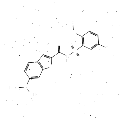 CCOc1ccc(CC)cc1S(=O)(=O)NC(=O)c1cc2ccc(N(C)C)cc2o1